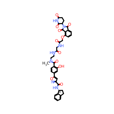 CN(CCNC(=O)CNC(=O)COc1cccc2c1C(=O)N(C1CCC(=O)NC1=O)C2=O)C(=O)c1ccc(-c2cc(C(=O)N[C@@H]3CCc4ccccc43)no2)cc1O